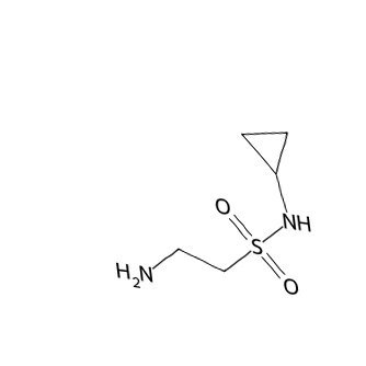 NCCS(=O)(=O)NC1CC1